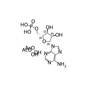 CC(=O)OO.CC(=O)OO.Nc1ncnc2c1ncn2[C@@H]1O[C@H](COP(=O)(O)O)[C@@H](O)[C@H]1O